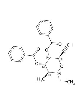 C#C[C@H]1O[C@H](CC)[C@@H](C)[C@H](OC(=O)c2ccccc2)[C@@H]1OC(=O)c1ccccc1